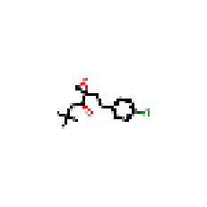 CC(C)(C)CC(=O)C1(CCc2ccc(Cl)cc2)CO1